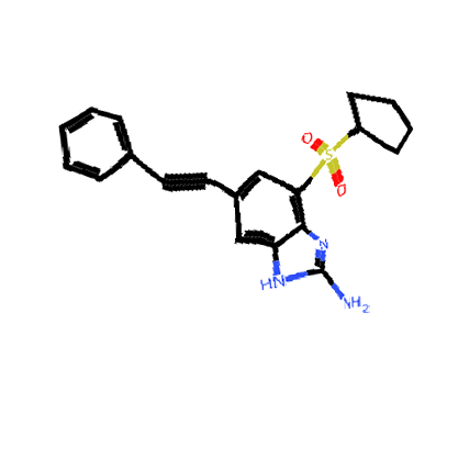 Nc1nc2c(S(=O)(=O)C3CCCC3)cc(C#Cc3ccccc3)cc2[nH]1